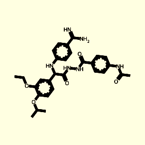 CCOc1cc(C(Nc2ccc(C(=N)N)cc2)C(=O)NNC(=O)c2ccc(NC(C)=O)cc2)ccc1OC(C)C